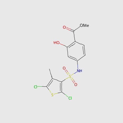 COC(=O)c1ccc(NS(=O)(=O)c2c(Cl)sc(Cl)c2C)cc1O